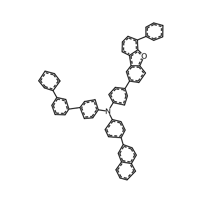 c1ccc(-c2cccc(-c3ccc(N(c4ccc(-c5ccc6ccccc6c5)cc4)c4ccc(-c5ccc6oc7c(-c8ccccc8)cccc7c6c5)cc4)cc3)c2)cc1